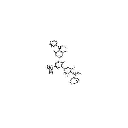 CC=[N+](c1ccccn1)c1c(C)cc(-c2cc([N+](=O)[O-])cc(-c3cc(C)c([N+](=CC)c4ccccn4)c(C)c3)c2C)cc1C